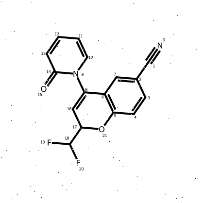 N#Cc1ccc2c(c1)C(n1ccccc1=O)=CC(C(F)F)O2